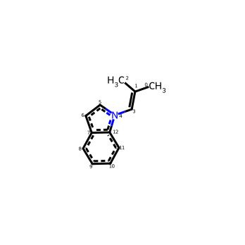 CC(C)=Cn1ccc2ccccc21